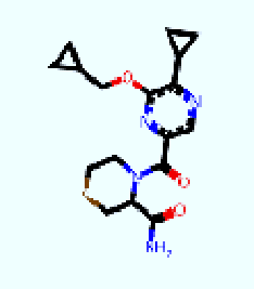 NC(=O)C1CSCCN1C(=O)c1cnc(C2CC2)c(OCC2CC2)n1